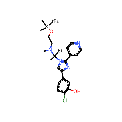 CCC(C)(N(C)CCO[Si](C)(C)C(C)(C)C)n1cc(-c2ccc(Cl)c(O)c2)nc1-c1ccncc1